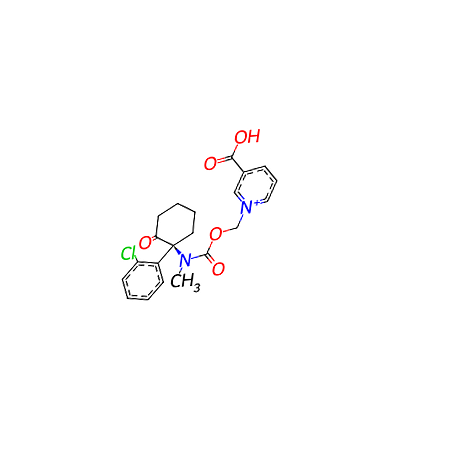 CN(C(=O)OC[n+]1cccc(C(=O)O)c1)[C@]1(c2ccccc2Cl)CCCCC1=O